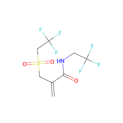 C=C(CS(=O)(=O)CC(F)(F)F)C(=O)NCC(F)(F)F